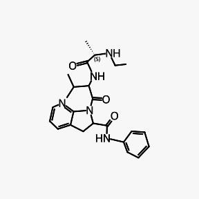 CCN[C@@H](C)C(=O)NC(C(=O)N1c2ncccc2CC1C(=O)Nc1ccccc1)C(C)C